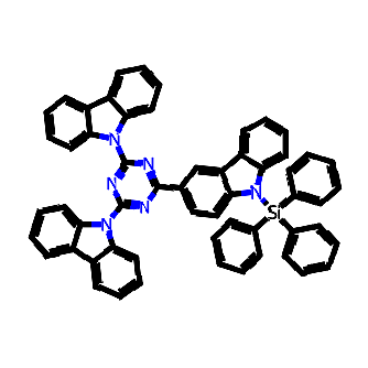 c1ccc([Si](c2ccccc2)(c2ccccc2)n2c3ccccc3c3cc(-c4nc(-n5c6ccccc6c6ccccc65)nc(-n5c6ccccc6c6ccccc65)n4)ccc32)cc1